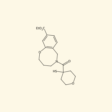 CCOC(=O)c1ccc2c(c1)OCCCN(C(=O)C1(S)CCOCC1)C2